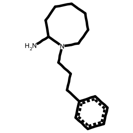 NC1CCCCCCN1CCCc1ccccc1